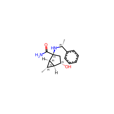 C[C@H]1[C@H]2[C@@H]1[C@](N[C@H](C)c1ccccc1)(C(N)=O)C[C@@H]2O